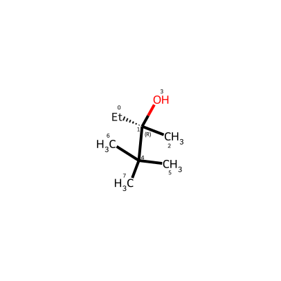 CC[C@@](C)(O)C(C)(C)C